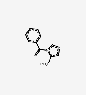 C=C(c1ccccc1)n1cncc1C(=O)OCC